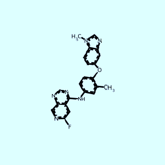 Cc1cc(Nc2ncnc3cnc(F)cc23)ccc1Oc1ccc2c(c1)ncn2C